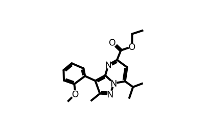 CCOC(=O)c1cc(C(C)C)n2nc(C)c(-c3ccccc3OC)c2n1